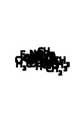 C=CC(=O)Nc1cc(Nc2ncnc(-c3cc(F)c(Cl)cc3C(C)(C)O)n2)c(OC)cc1N1CCC[C@@H]1CN(C)C